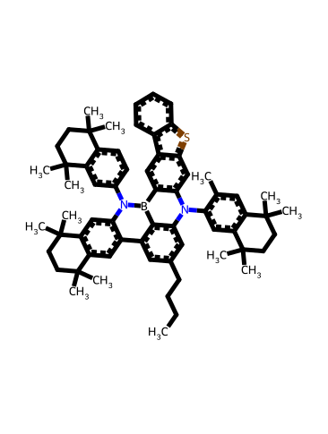 CCCCc1cc2c3c(c1)N(c1cc4c(cc1C)C(C)(C)CCC4(C)C)c1cc4sc5ccccc5c4cc1B3N(c1ccc3c(c1)C(C)(C)CCC3(C)C)c1cc3c(cc1-2)C(C)(C)CCC3(C)C